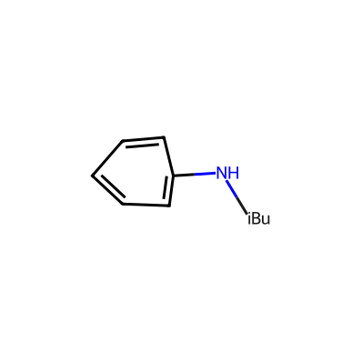 CCC(C)Nc1ccccc1